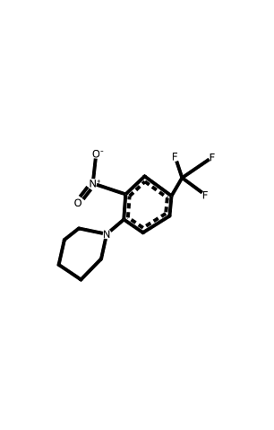 O=[N+]([O-])c1cc(C(F)(F)F)ccc1N1CCCCC1